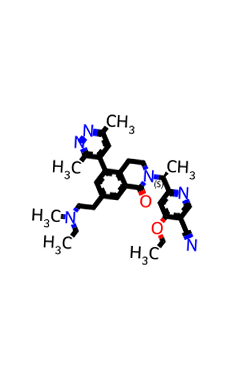 CCOc1cc([C@H](C)N2CCc3c(cc(CCN(C)CC)cc3-c3cc(C)nnc3C)C2=O)ncc1C#N